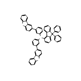 c1ccc(C2(c3ccccc3)c3ccccc3-c3c(N(c4cccc(-c5ccc6oc7ccccc7c6c5)c4)c4cccc(-c5ccc6sc7ccccc7c6c5)c4)cccc32)cc1